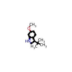 COc1ccc2c(C(C)(C)C)c[nH]c2c1